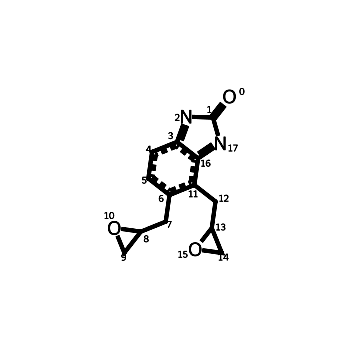 O=C1N=c2ccc(CC3CO3)c(CC3CO3)c2=N1